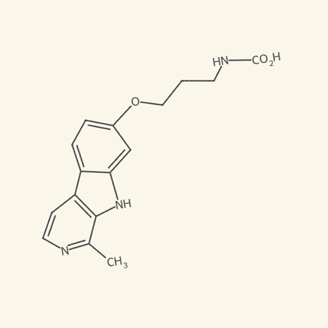 Cc1nccc2c1[nH]c1cc(OCCCNC(=O)O)ccc12